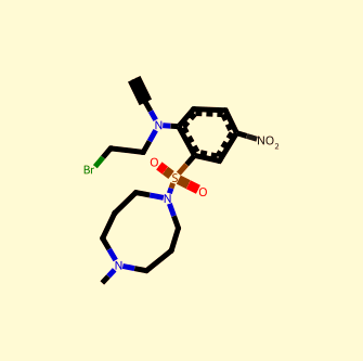 C#CN(CCBr)c1ccc([N+](=O)[O-])cc1S(=O)(=O)N1CCCN(C)CCC1